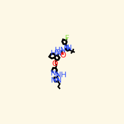 CCCc1cncc(Nc2cc(COc3ccc(NC(=O)Nc4cc(C(C)(C)C)nn4-c4cccc(F)c4)c4ccccc34)ccn2)n1